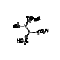 CCCCCC(CCCC)C(C(=O)O)C(=O)O